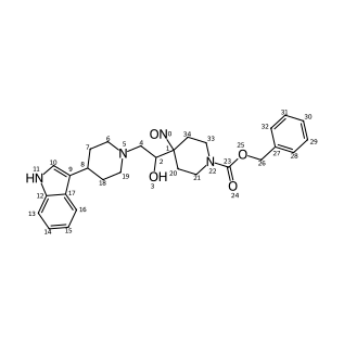 O=NC1(C(O)CN2CCC(c3c[nH]c4ccccc34)CC2)CCN(C(=O)OCc2ccccc2)CC1